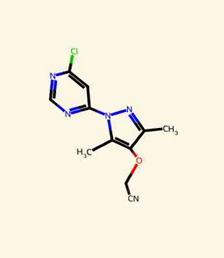 Cc1nn(-c2cc(Cl)ncn2)c(C)c1OCC#N